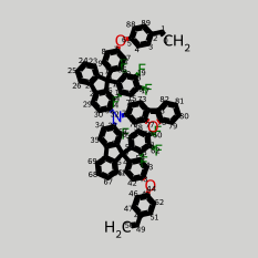 C=Cc1ccc(Oc2ccc(C3(c4c(F)cc(F)c(F)c4F)c4ccccc4-c4ccc(N(c5ccc6c(c5)C(c5ccc(Oc7ccc(C=C)cc7)cc5)(c5c(F)cc(F)c(F)c5F)c5ccccc5-6)c5ccc6c(c5)oc5ccccc56)cc43)cc2)cc1